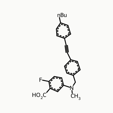 CCCCc1ccc(C#Cc2ccc(CN(C)c3ccc(F)c(C(=O)O)c3)cc2)cc1